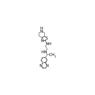 CC(NCCNc1nc2c(s1)CNCC2)c1ccc2nccnc2c1